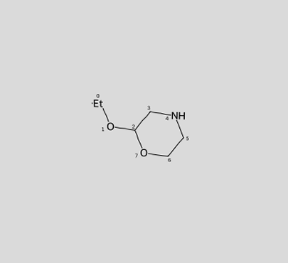 C[CH]OC1CNCCO1